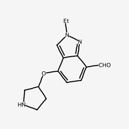 CCn1cc2c(OC3CCNC3)ccc(C=O)c2n1